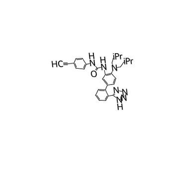 C#Cc1ccc(NC(=O)Nc2cc(-c3ccccc3-c3nnn[nH]3)ccc2N(CC(C)C)CC(C)C)cc1